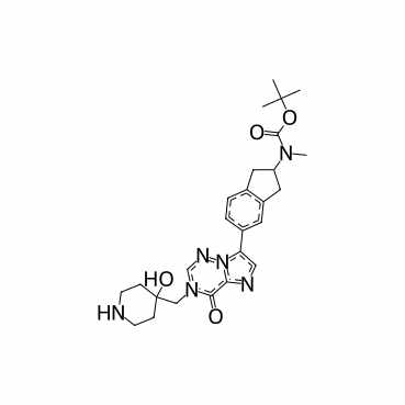 CN(C(=O)OC(C)(C)C)C1Cc2ccc(-c3cnc4c(=O)n(CC5(O)CCNCC5)cnn34)cc2C1